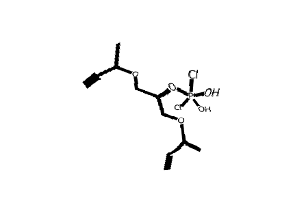 C#CC(C)OCC(COC(C)C=C)OP(O)(O)(Cl)Cl